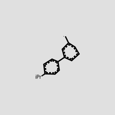 [CH2]c1cccc(-c2ccc(C(C)C)cc2)c1